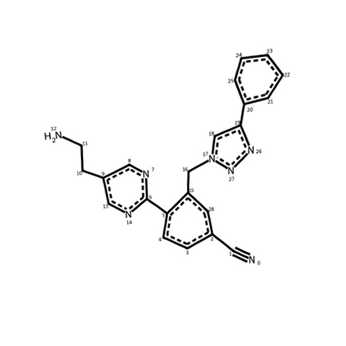 N#Cc1ccc(-c2ncc(CCN)cn2)c(Cn2cc(-c3ccccc3)nn2)c1